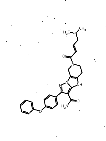 CN(C)CC=CC(=O)N1CCc2[nH]c3c(C(N)=O)c(-c4ccc(Oc5ccccc5)cc4)nn3c2C1